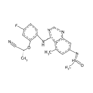 Cc1cc(/N=[SH](\C)=O)cc2ncnc(Nc3ccc(F)cc3O[C@H](C)C#N)c12